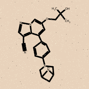 CC(C)(O)COc1cc(-c2ccc(N3CC4CC(C3)N4)cc2)c2c(C#N)cnn2c1